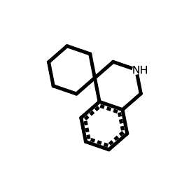 c1ccc2c(c1)CNCC21CCCCC1